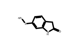 CCCSc1ccc2c(c1)NC(=O)C2